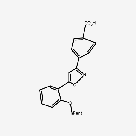 CCCCCOc1ccccc1-c1cc(-c2ccc(C(=O)O)cc2)no1